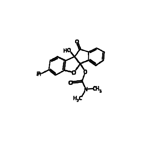 CC(C)c1ccc2c(c1)OC1(OC(=O)N(C)C)c3ccccc3C(=O)C21O